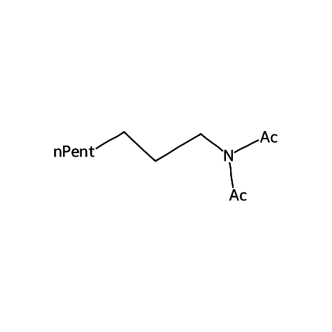 CCCCCCCCN(C(C)=O)C(C)=O